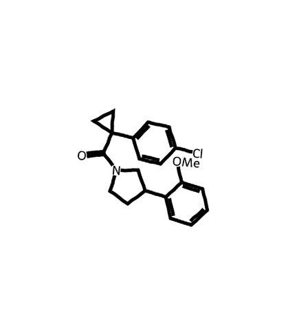 COc1ccccc1C1CCN(C(=O)C2(c3ccc(Cl)cc3)CC2)C1